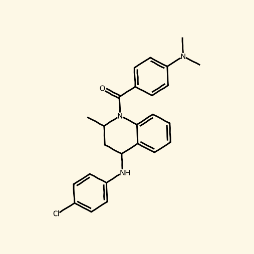 CC1CC(Nc2ccc(Cl)cc2)c2ccccc2N1C(=O)c1ccc(N(C)C)cc1